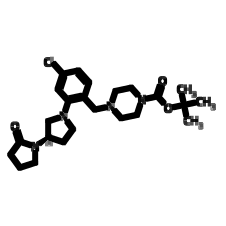 CC(C)(C)OC(=O)N1CCN(Cc2ccc(Cl)cc2N2CC[C@@H](N3CCCC3=O)C2)CC1